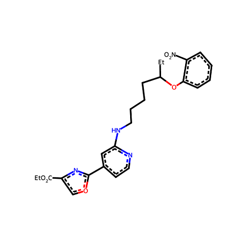 CCOC(=O)c1coc(-c2ccnc(NCCCCC(CC)Oc3ccccc3[N+](=O)[O-])c2)n1